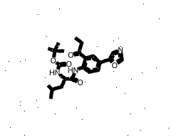 CCC(=O)c1cc(-c2cnco2)ccc1NC(=O)C(CC(C)C)NC(=O)OC(C)(C)C